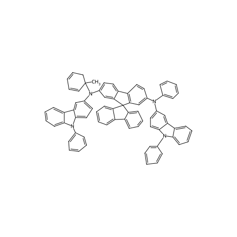 CC1(N(c2ccc3c(c2)C2(c4ccccc4-c4ccccc42)c2cc(N(c4ccccc4)c4ccc5c(c4)c4ccccc4n5-c4ccccc4)ccc2-3)c2ccc3c(c2)c2ccccc2n3-c2ccccc2)C=CC=CC1